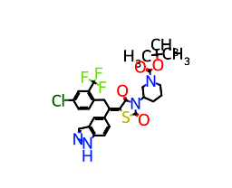 CC(C)(C)OC(=O)N1CCCC(N2C(=O)S/C(=C(/Cc3ccc(Cl)cc3C(F)(F)F)c3ccc4[nH]ncc4c3)C2=O)C1